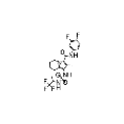 Cc1c(NS(=O)(=O)NC(C)C(F)(F)F)c2n(c1C(=O)Nc1ccc(F)c(F)c1)CCCC2